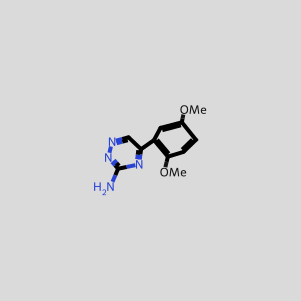 COc1ccc(OC)c(-c2cnnc(N)n2)c1